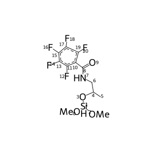 CO[SiH](OC)OC(C)CNC(=O)c1c(F)c(F)c(F)c(F)c1F